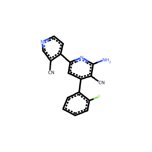 N#Cc1cnccc1-c1cc(-c2ccccc2F)c(C#N)c(N)n1